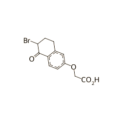 O=C(O)COc1ccc2c(c1)CCC(Br)C2=O